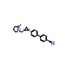 C[C@@H]1CCCN1C[C@H]1C[C@@H]1c1ccc(-c2ccc(C#N)cc2)cc1